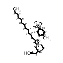 C#CCC1C[N+](Br)(CCCCCCCCCCCCCC)CCO1.Cc1ccc(S(=O)(=O)[O-])cc1